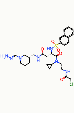 NN=CN1CCC[C@@H](CNC(=O)C[C@H](NS(=O)(=O)c2ccc3ccccc3c2)C(=O)N(CCNC(=O)CCl)C2CC2)C1